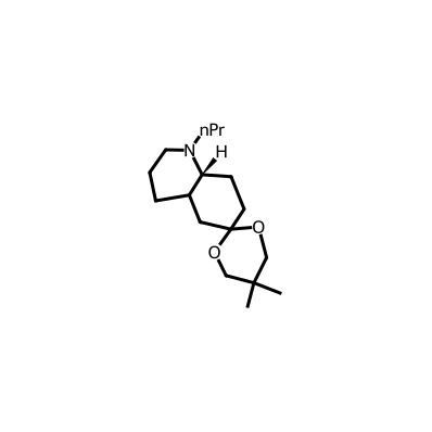 CCCN1CCCC2CC3(CC[C@H]21)OCC(C)(C)CO3